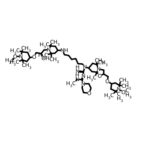 CN/C(=N\C(=N)N(CCCCCCNC1CC(C)(C)N(CC(O)COC2CC(C)(C)N(OC)C(C)(C)C2)C(C)(C)C1)C1CC(C)(C)N2CC(COC3CC(C)(C)N(OC)C(C)(C)C3)OC2(C)C1)N1CCOCC1